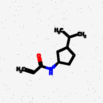 C=CC(=O)N[C@@H]1CCC(C(C)C)C1